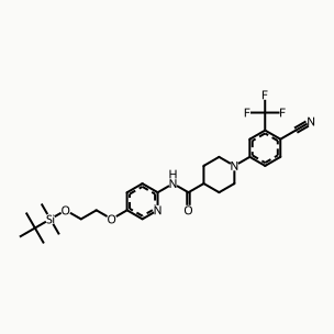 CC(C)(C)[Si](C)(C)OCCOc1ccc(NC(=O)C2CCN(c3ccc(C#N)c(C(F)(F)F)c3)CC2)nc1